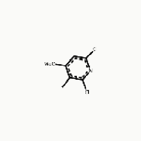 COc1cc(Cl)nc(Cl)c1C